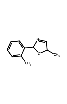 Cc1ccccc1C1N=CC(C)O1